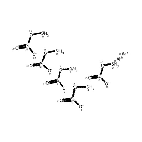 O=[Si]([O-])O[SiH3].O=[Si]([O-])O[SiH3].O=[Si]([O-])O[SiH3].O=[Si]([O-])O[SiH3].O=[Si]([O-])O[SiH3].[Al+3].[Ba+2]